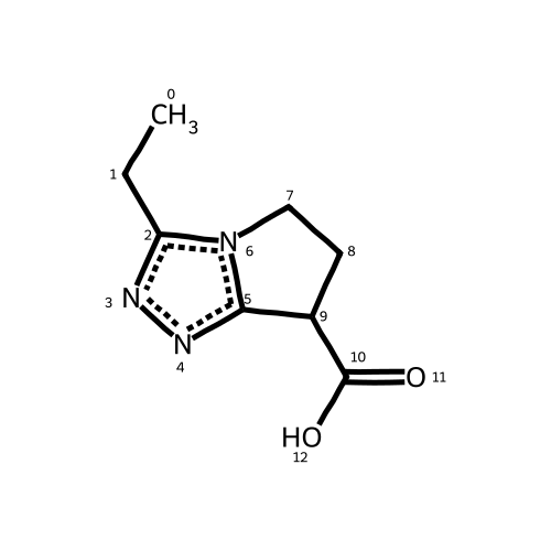 CCc1nnc2n1CCC2C(=O)O